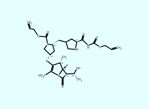 C=CCOC(=O)NC(=O)[C@@H]1CC(C[C@@H]2C[C@H](SC3=C(C(=O)O)N4C(=O)[C@H]([C@@H](C)O)[C@H]4[C@H]3C)CN2C(=O)OCC=C)CN1